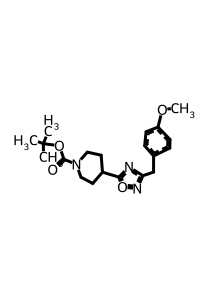 COc1ccc(Cc2noc(C3CCN(C(=O)OC(C)(C)C)CC3)n2)cc1